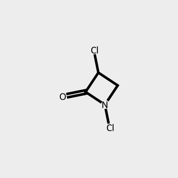 O=C1C(Cl)CN1Cl